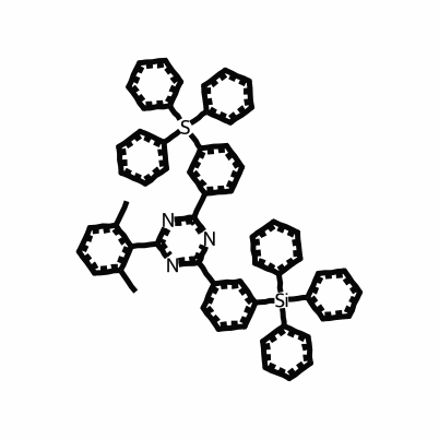 Cc1cccc(C)c1-c1nc(-c2cccc([Si](c3ccccc3)(c3ccccc3)c3ccccc3)c2)nc(-c2cccc(S(c3ccccc3)(c3ccccc3)c3ccccc3)c2)n1